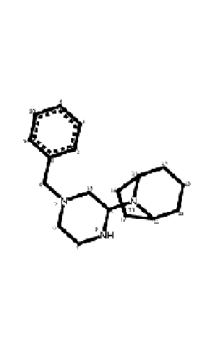 c1ccc(CN2CCNC(N3C4CCCC3CC4)C2)cc1